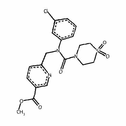 COC(=O)c1ccc(CN(C(=O)N2CCS(=O)(=O)CC2)c2cccc(Cl)c2)nc1